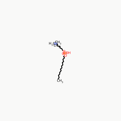 CCCCCCCCCCCCCCCCOP(=O)(O)OCCCCCC[N+](C)(C)C